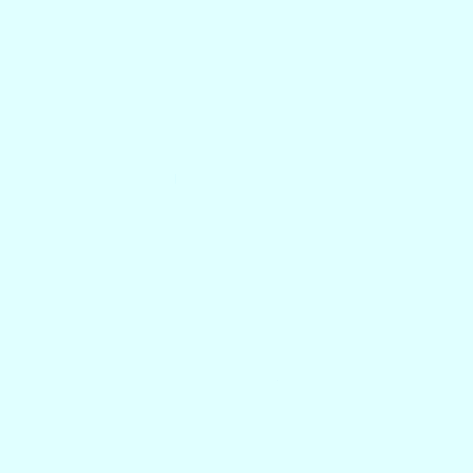 CC1CCC(C2CCC(C3CCC(C4CCC(C)CC4)C(F)C3C)CC2)CC1